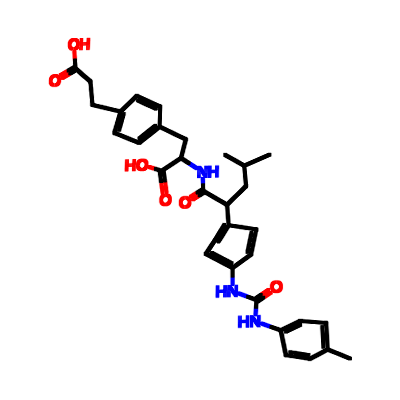 Cc1ccc(NC(=O)Nc2ccc(C(CC(C)C)C(=O)NC(Cc3ccc(CCC(=O)O)cc3)C(=O)O)cc2)cc1